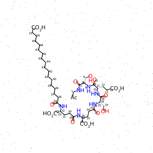 CC(=O)CNC(=O)[C@H](CO)NC(=O)[C@H](CCC(=O)O)NC(=O)[C@H](CO)NC(=O)CC[C@H](NC(=O)CC[C@H](NC(=O)CCCCCCCCCCCCCCCCC(=O)O)C(=O)O)C(=O)O